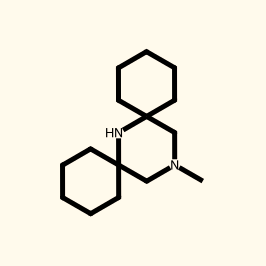 CN1CC2(CCCCC2)NC2(CCCCC2)C1